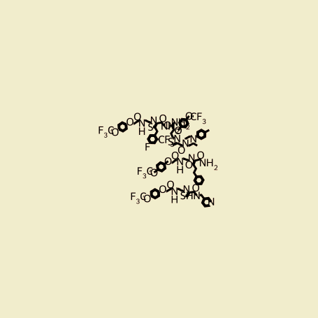 Cc1ccc(N2CCN(C(=O)c3csc(CC(Oc4ccc(OC(F)(F)F)cc4)C(N)=O)n3)CC2C)cc1.NC(=O)c1nc(CNC(=O)COc2ccc(OC(F)(F)F)cc2)oc1CCc1ccccc1.NC(=O)c1nc(CNC(=O)COc2ccc(OC(F)(F)F)cc2)sc1Cc1ccc(F)cc1C(F)(F)F.O=C(COc1ccc(OC(F)(F)F)cc1)NCc1nc(C(=O)NCc2cccnc2)cs1